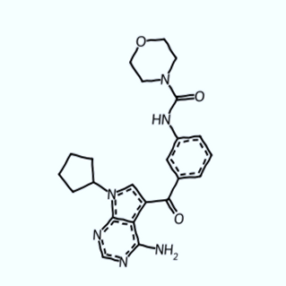 Nc1ncnc2c1c(C(=O)c1cccc(NC(=O)N3CCOCC3)c1)cn2C1CCCC1